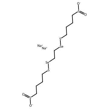 O=S([O-])CCCCS[Se]CC[Se]SCCCCS(=O)[O-].[Na+].[Na+]